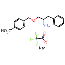 N[C@H](COCc1ccc(C(=O)O)cc1)Cc1ccccc1.O=C([O-])C(F)(F)F.[Na+]